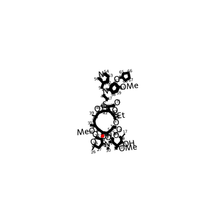 CC[C@H]1OC(=O)[C@H](C)[C@@H](O[C@H]2C[C@@](C)(OC)[C@@H](O)[C@H](C)O2)[C@H](C)[C@@H](O[C@@H]2O[C@H](C)C[C@H](N(C)C)[C@H]2O)[C@](C)(OC)C[C@@H](C)C(=O)[C@H](C)[C@H]2[C@H](SCCN(Cc3cccnc3)c3ccc(OC)c(OC4CCCC4)c3)C(=O)O[C@@]21C